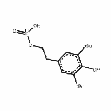 CC(C)(C)c1cc(CCO[PH](=O)O)cc(C(C)(C)C)c1O